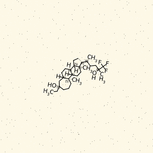 CC[C@]1(O)CCC[C@@]2(C)[C@@H](CC[C@@H]3[C@@H]2CC[C@]2(C)[C@@H]([C@H](C)CC[C@@](C)(O)C(F)(F)F)CC[C@@H]32)C1